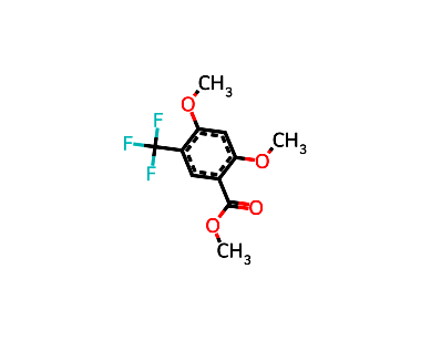 COC(=O)c1cc(C(F)(F)F)c(OC)cc1OC